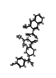 CC(C)[C@H](NC(=O)c1nc2ccccc2nc1O)C(=O)N1CCC([S+]([O-])c2ccc(F)cc2)CC1